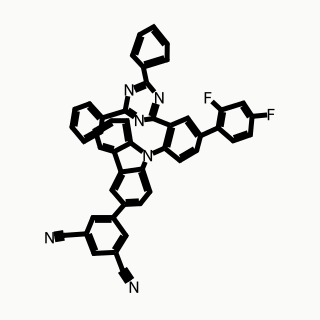 N#Cc1cc(C#N)cc(-c2ccc3c(c2)c2ccccc2n3-c2ccc(-c3ccc(F)cc3F)cc2-c2nc(-c3ccccc3)nc(-c3ccccc3)n2)c1